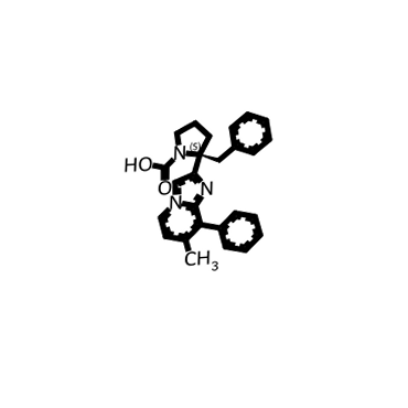 Cc1ccn2cc([C@@]3(Cc4ccccc4)CCCN3C(=O)O)nc2c1-c1ccccc1